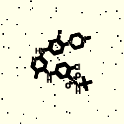 Cc1cnc(Nc2ccc(N3CCN(C)CC3)c(F)c2)cc1Nc1ccc(Cl)c(S(=O)(=O)NC(C)(C)C)c1